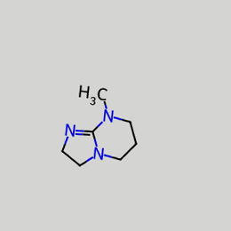 CN1CCCN2CCN=C12